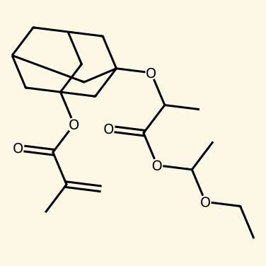 C=C(C)C(=O)OC12CC3CC(C1)CC(OC(C)C(=O)OC(C)OCC)(C3)C2